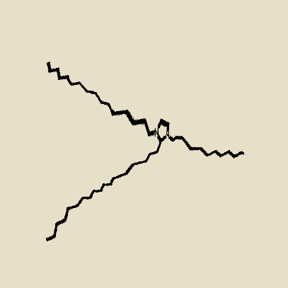 CCCCCCCCCCCCCCCCCCC1N(CCCCCCCCCC)C=CN1CCCCCCCCCCCCCCCC